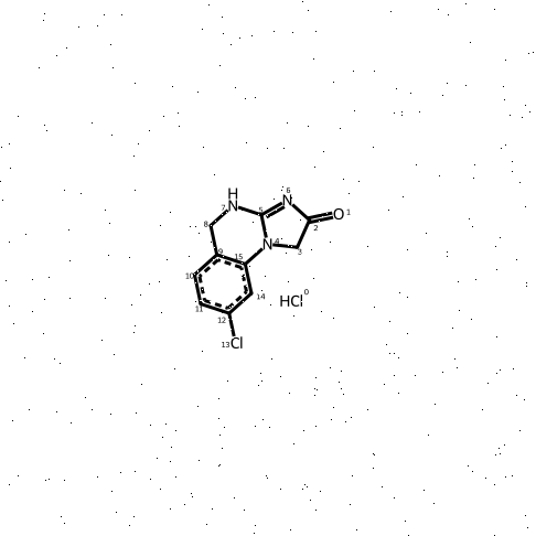 Cl.O=C1CN2C(=N1)NCc1ccc(Cl)cc12